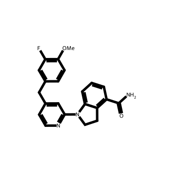 COc1ccc(Cc2ccnc(N3CCc4c(C(N)=O)cccc43)c2)cc1F